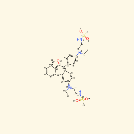 CCN(CCNS(C)(=O)=O)c1ccc(C(=C2C=CC(=[N+](CC)CCNS(C)(=O)=O)C=C2)c2occ3ccccc23)cc1